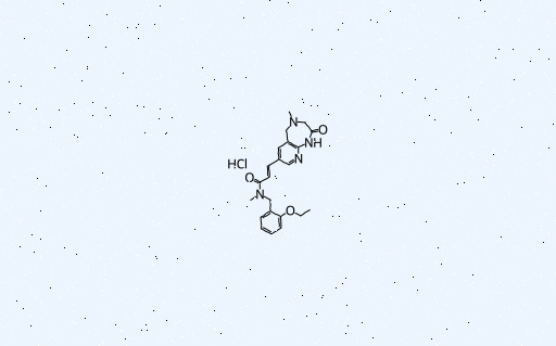 CCOc1ccccc1CN(C)C(=O)/C=C/c1cnc2c(c1)CN(C)CC(=O)N2.Cl